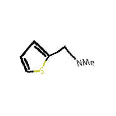 [C]NCc1cccs1